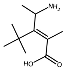 CC(C(=O)O)=C(C(C)N)C(C)(C)C